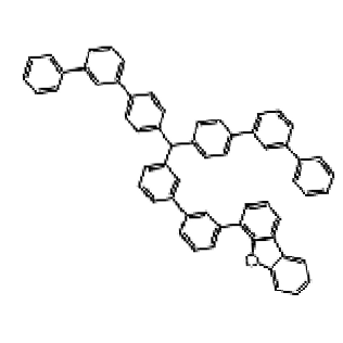 c1ccc(-c2cccc(-c3ccc(C(c4ccc(-c5cccc(-c6ccccc6)c5)cc4)c4cccc(-c5cccc(-c6cccc7c6oc6ccccc67)c5)c4)cc3)c2)cc1